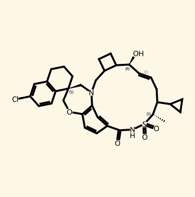 C[C@H]1C(C2CC2)C/C=C/[C@H](O)C2CCC2CN2C[C@@]3(CCCc4cc(Cl)ccc43)COc3ccc(cc32)C(=O)NS1(=O)=O